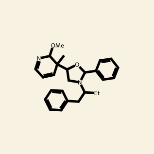 CCC(Cc1ccccc1)N1CC(C2(C)C=CC=NC2OC)OC1c1ccccc1